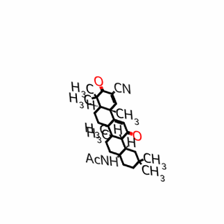 CC(=O)N[C@]12CCC(C)(C)C[C@@H]1[C@H]1C(=O)C=C3[C@@]4(C)C=C(C#N)C(=O)C(C)(C)[C@@H]4CC[C@@]3(C)[C@]1(C)CC2